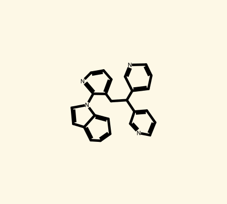 c1cncc(C(Cc2cccnc2-n2ccc3ccccc32)c2cccnc2)c1